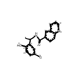 CC(NC(=O)c1ccc2ncccc2c1)c1cc(Cl)ccc1O